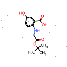 CC(C)(C)OC(=O)CNc1ccc(O)cc1C(=O)O